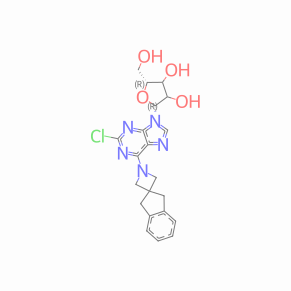 OC[C@H]1O[C@@H](n2cnc3c(N4CC5(Cc6ccccc6C5)C4)nc(Cl)nc32)C(O)C1O